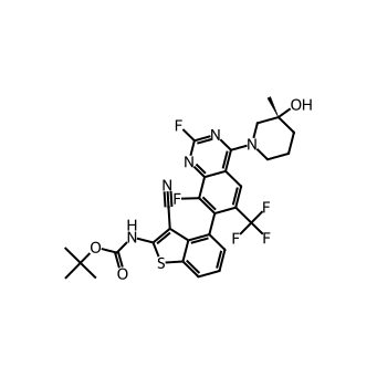 CC(C)(C)OC(=O)Nc1sc2cccc(-c3c(C(F)(F)F)cc4c(N5CCC[C@@](C)(O)C5)nc(F)nc4c3F)c2c1C#N